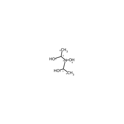 CC(O)N(O)C(C)O